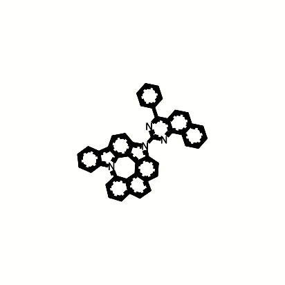 c1ccc(-c2nc(-n3c4ccc5ccc6cccc7c6c5c4c4c3ccc3c5ccccc5n7c34)nc3c2ccc2ccccc23)cc1